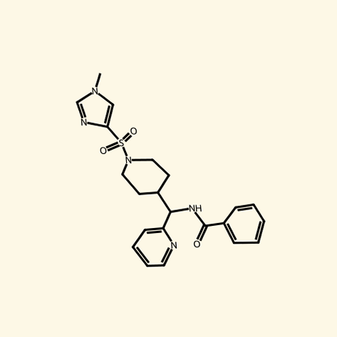 Cn1cnc(S(=O)(=O)N2CCC(C(NC(=O)c3ccccc3)c3ccccn3)CC2)c1